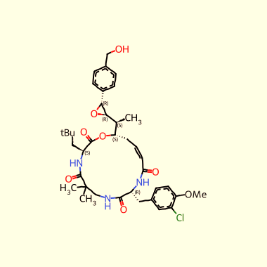 COc1ccc(C[C@H]2NC(=O)C=CC[C@@H]([C@H](C)[C@H]3O[C@@H]3c3ccc(CO)cc3)OC(=O)[C@H](CC(C)(C)C)NC(=O)C(C)(C)CNC2=O)cc1Cl